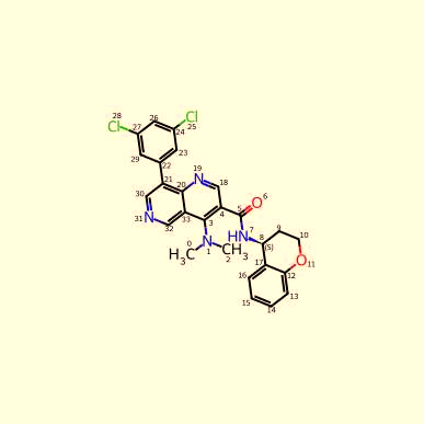 CN(C)c1c(C(=O)N[C@H]2CCOc3ccccc32)cnc2c(-c3cc(Cl)cc(Cl)c3)cncc12